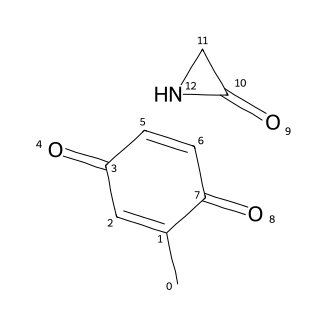 CC1=CC(=O)C=CC1=O.O=C1CN1